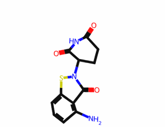 Nc1cccc2sn(C3CCC(=O)NC3=O)c(=O)c12